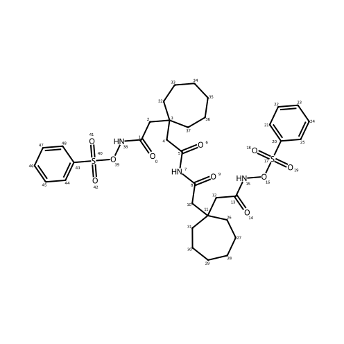 O=C(CC1(CC(=O)NC(=O)CC2(CC(=O)NOS(=O)(=O)c3ccccc3)CCCCCC2)CCCCCC1)NOS(=O)(=O)c1ccccc1